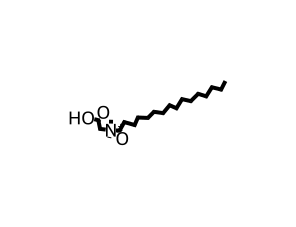 CCCCCCCCCCCCCCCC(=O)[N+](C)(C)CC(=O)O